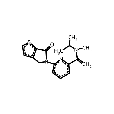 C=C(c1cccc(N2Cc3ccsc3C2=O)n1)N(C)C(C)C